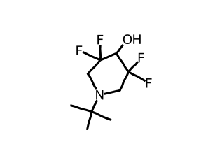 CC(C)(C)N1CC(F)(F)C(O)C(F)(F)C1